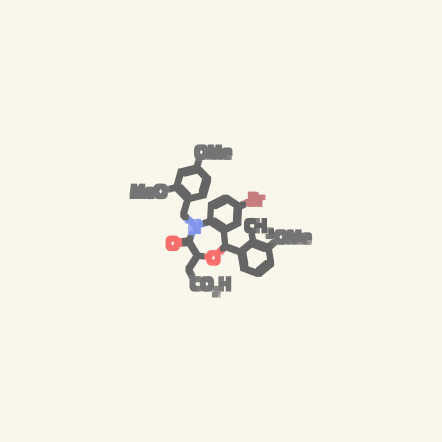 COc1ccc(CN2C(=O)C(CC(=O)O)OC(c3cccc(OC)c3C)c3cc(Br)ccc32)c(OC)c1